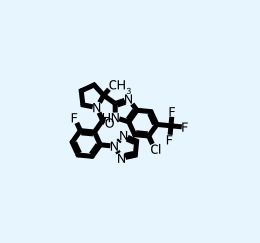 CC1(c2nc3cc(C(F)(F)F)c(Cl)cc3[nH]2)CCCN1C(=O)c1c(F)cccc1-n1nccn1